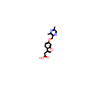 Cc1cnc(COC2=CCC3C(CC(=O)O)=COC3=C2)c(C)n1